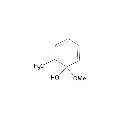 [CH2]C1C=CC=CC1(O)OC